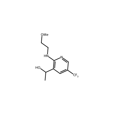 COCCNc1ncc(C(F)(F)F)cc1C(C)O